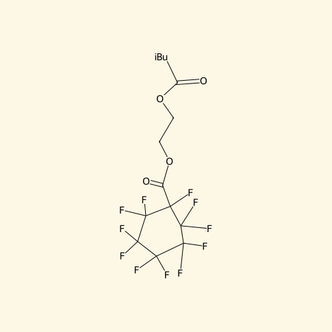 CCC(C)C(=O)OCCOC(=O)C1(F)C(F)(F)C(F)(F)C(F)(F)C(F)(F)C1(F)F